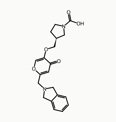 O=C(O)N1CC[C@H](COc2coc(CN3Cc4ccccc4C3)cc2=O)C1